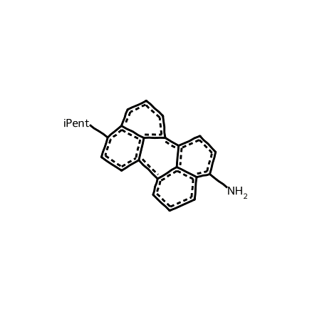 CCCC(C)c1ccc2c3cccc4c(N)ccc(c5cccc1c52)c43